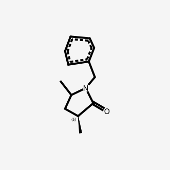 CC1C[C@H](C)C(=O)N1Cc1ccccc1